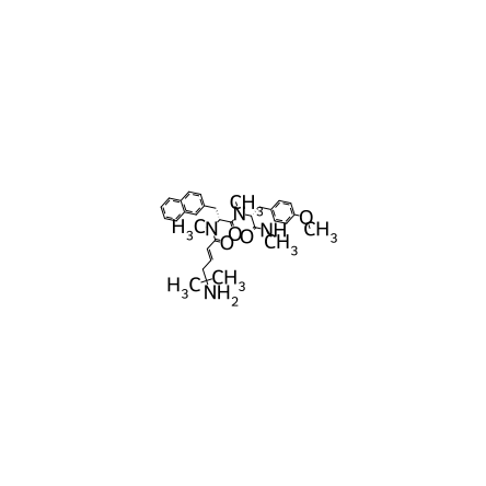 CNC(=O)[C@@H](Cc1ccc(OC)cc1)N(C)C(=O)[C@@H](Cc1ccc2ccccc2c1)N(C)C(=O)C=CCC(C)(C)N